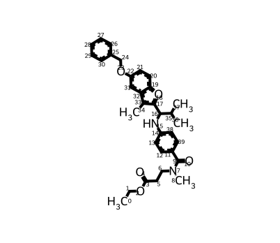 CCOC(=O)CCN(C)C(=O)c1ccc(NC(c2oc3ccc(OCc4ccccc4)cc3c2C)C(C)C)cc1